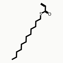 C=CC(=O)SCCCCCCCCCCCC